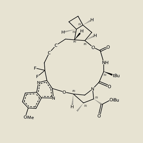 COc1ccc2nc3c(nc2c1)O[C@H]1CN(C(=O)[C@H](C(C)(C)C)NC(=O)O[C@@H]2C[C@@H]4CC[C@@H]4[C@H]2CCCCC3(F)F)[C@H](C(=O)OCC(C)C)[C@@H]1C